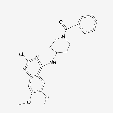 COc1cc2nc(Cl)nc(NC3CCN(C(=O)c4ccccc4)CC3)c2cc1OC